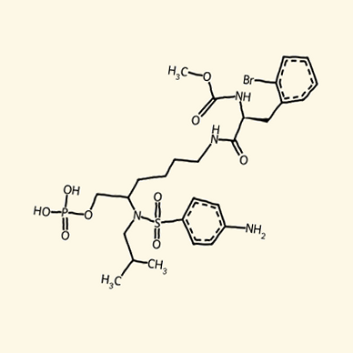 COC(=O)N[C@@H](Cc1ccccc1Br)C(=O)NCCCCC(COP(=O)(O)O)N(CC(C)C)S(=O)(=O)c1ccc(N)cc1